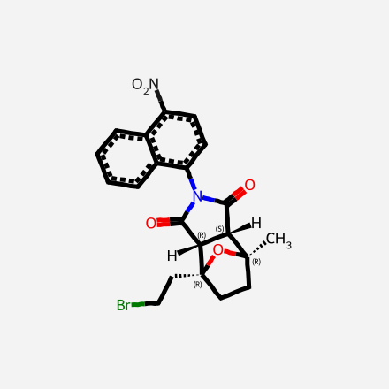 C[C@]12CC[C@](CCBr)(O1)[C@@H]1C(=O)N(c3ccc([N+](=O)[O-])c4ccccc34)C(=O)[C@@H]12